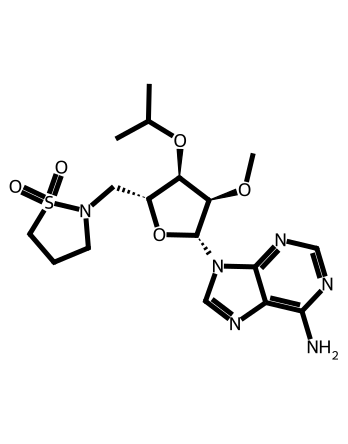 CO[C@@H]1[C@H](OC(C)C)[C@@H](CN2CCCS2(=O)=O)O[C@H]1n1cnc2c(N)ncnc21